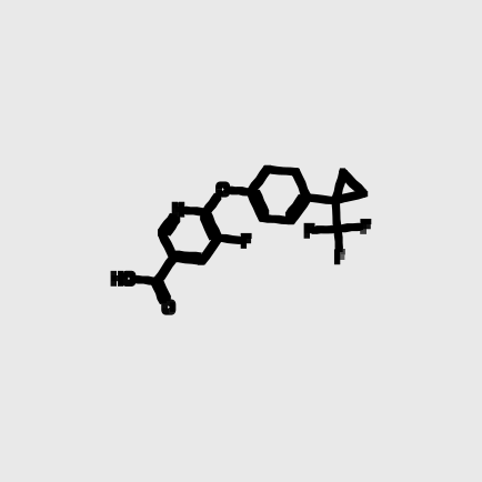 O=C(O)c1cnc(OC2=CC=C(C3(C(F)(F)F)CC3)CC2)c(F)c1